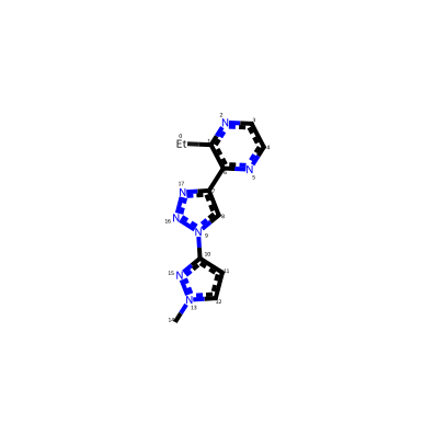 CCc1nccnc1-c1cn(-c2ccn(C)n2)nn1